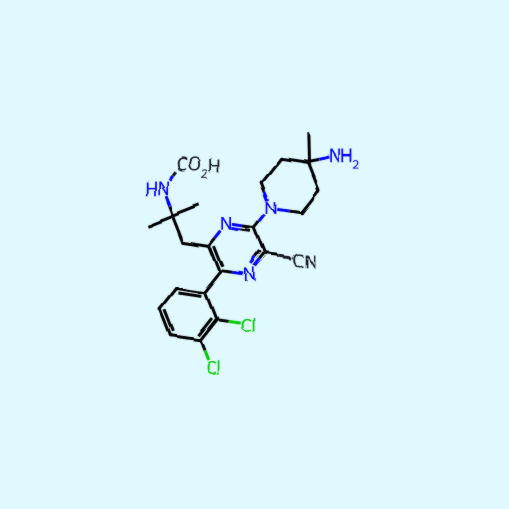 CC1(N)CCN(c2nc(CC(C)(C)NC(=O)O)c(-c3cccc(Cl)c3Cl)nc2C#N)CC1